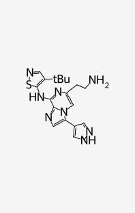 CC(C)(C)c1cnsc1Nc1nc(CCN)cn2c(-c3cn[nH]c3)cnc12